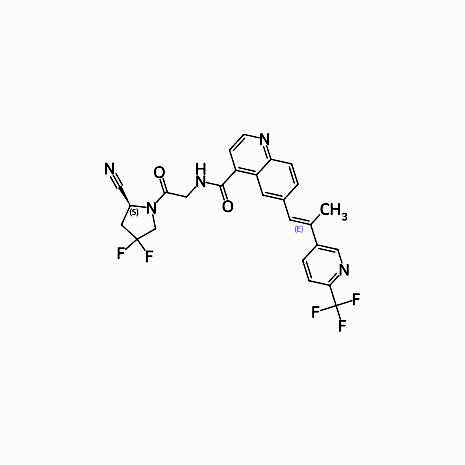 C/C(=C\c1ccc2nccc(C(=O)NCC(=O)N3CC(F)(F)C[C@H]3C#N)c2c1)c1ccc(C(F)(F)F)nc1